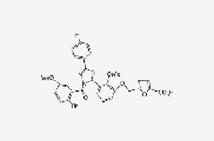 COc1ccc(Br)c(C(=O)N2N=C(c3ccc(F)cc3)SC2c2cccc(OCc3ccc(C(=O)O)o3)c2OC)c1